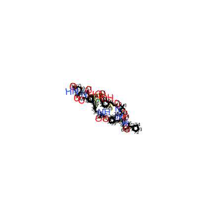 CC(C)(C)[C@H](NC(=O)c1cc2cc(C(F)(F)P(=O)(O)O)ccc2s1)C(=O)N1Cc2cc(OCC(=O)NCC#Cc3ccc4c(c3)C(=O)N(C3CCC(=O)NC3=O)C4=O)ccc2C[C@H]1C(=O)N1CCOC(c2ccccc2)C1